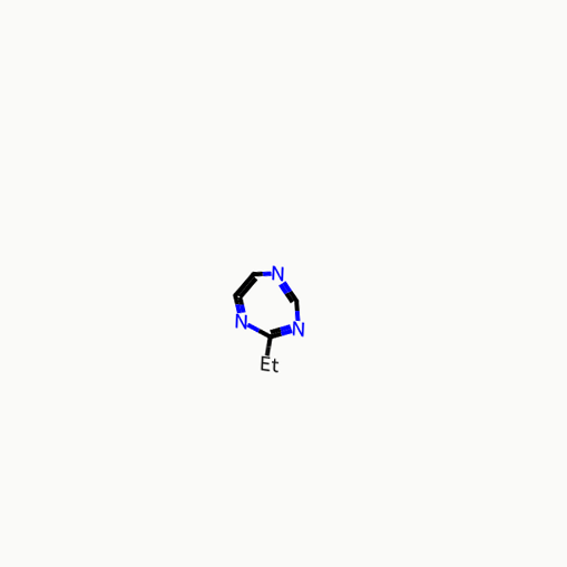 CCC1=NC=NC=C=N1